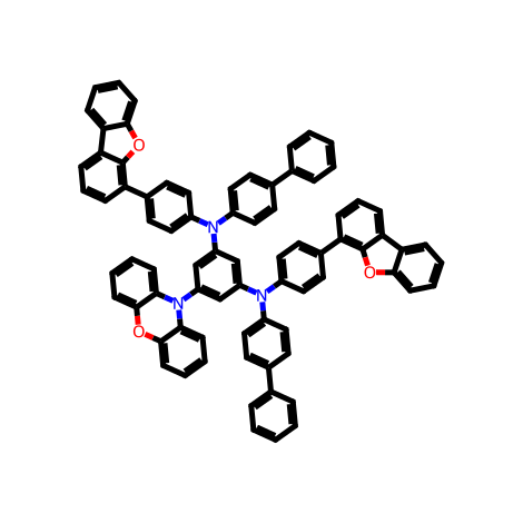 c1ccc(-c2ccc(N(c3ccc(-c4cccc5c4oc4ccccc45)cc3)c3cc(N(c4ccc(-c5ccccc5)cc4)c4ccc(-c5cccc6c5oc5ccccc56)cc4)cc(N4c5ccccc5Oc5ccccc54)c3)cc2)cc1